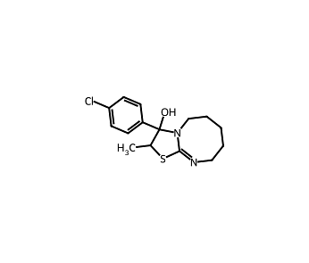 CC1SC2=NCCCCCN2C1(O)c1ccc(Cl)cc1